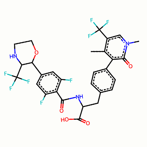 Cc1c(C(F)(F)F)cn(C)c(=O)c1-c1ccc(CC(NC(=O)c2c(F)cc(C3OCCNC3C(F)(F)F)cc2F)C(=O)O)cc1